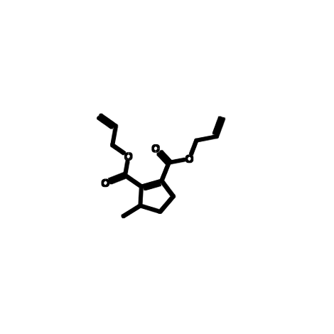 C=CCOC(=O)C1=C(C(=O)OCC=C)C(C)CC1